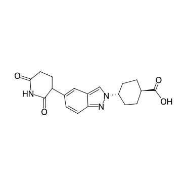 O=C1CCC(c2ccc3nn([C@H]4CC[C@H](C(=O)O)CC4)cc3c2)C(=O)N1